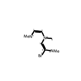 CN/C=C\N(C)/C=C(/Br)NC